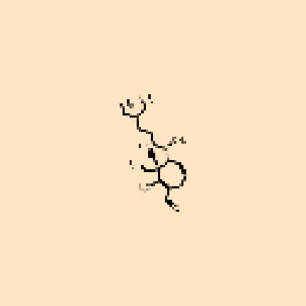 C#CC1(CC)C(C)=C(C=O)CC=C[C@H]1N(C)CCCN(CC)CC